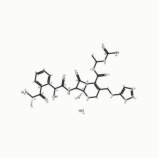 CC(OC(=O)C1=C(CSc2cnns2)CS[C@H]2C(NC(=O)C(O)c3ccccc3C(=O)[C@H](C)N)C(=O)N12)OC(=O)C(C)C.Cl